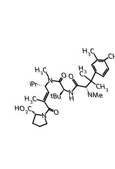 CN[C@H](C(=O)N[C@H](C(=O)N(C)[C@H](/C=C(\C)C(=O)N1CCC[C@H]1C(=O)O)C(C)C)C(C)(C)C)C(C)(C)c1ccc(C)c(C)c1